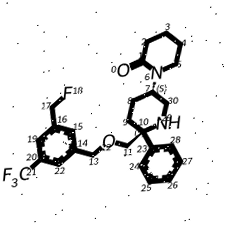 O=C1CCCCN1[C@H]1CC[C@@](COCc2cc(CF)cc(C(F)(F)F)c2)(c2ccccc2)NC1